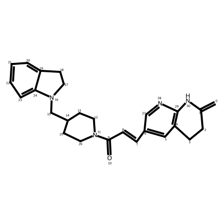 C=C1CCc2cc(/C=C/C(=O)N3CCC(CN4CCc5ccccc54)CC3)cnc2N1